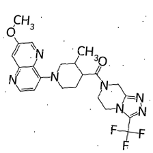 COc1cnc2c(N3CCC(C(=O)N4CCn5c(nnc5C(F)(F)F)C4)C(C)C3)ccnc2c1